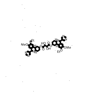 CCOc1cc2c(cc1OC)C(c1cncnc1)=N[C@H]1CC[C@H](OC(=O)C(O)C(O)C(=O)O[C@H]3CC[C@@H]4N=C(c5cncnc5)c5cc(OC)c(OCC)cc5[C@@H]4C3)C[C@@H]21